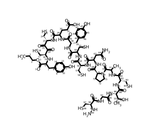 CCCOC(=O)C(Cc1ccc(O)cc1)N[C@@H](CS)C(=O)C(=O)[C@H](CS)NC(=O)C(CCC(=O)O)NC(=O)[C@H](Cc1ccc(O)cc1)NC(=O)C(CS)NC(=O)[C@H](CS)NC(=O)C(CC(N)=O)NC(=O)[C@@H]1CCCN1C(=O)C(C)NC(=O)[C@H](CS)NC(=O)[C@@H](NC(=O)CNC(=O)[C@H](CS)NN)[C@@H](C)O